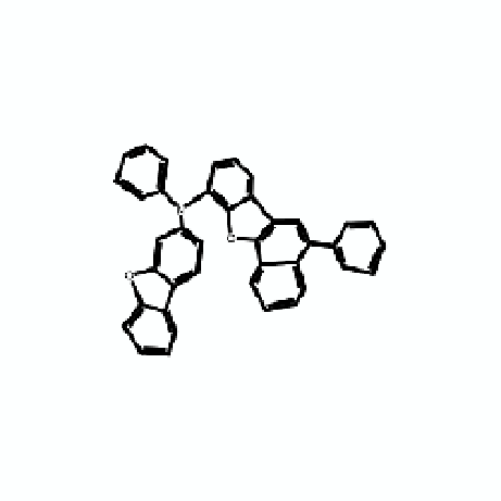 c1ccc(-c2cc3c4cccc(N(c5ccccc5)c5ccc6c(c5)oc5ccccc56)c4oc3c3ccccc23)cc1